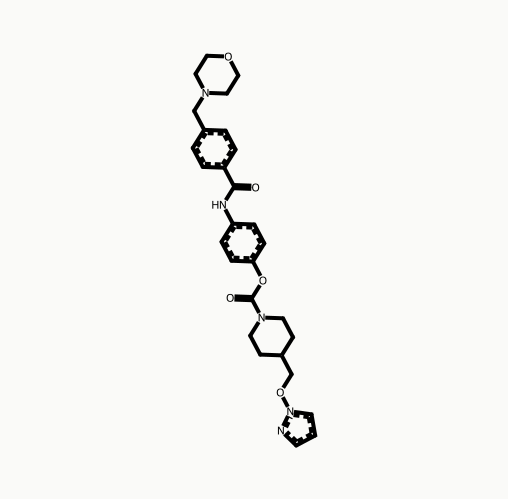 O=C(Nc1ccc(OC(=O)N2CCC(COn3cccn3)CC2)cc1)c1ccc(CN2CCOCC2)cc1